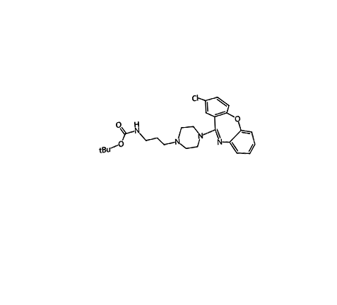 CC(C)(C)OC(=O)NCCCN1CCN(C2=Nc3ccccc3Oc3ccc(Cl)cc32)CC1